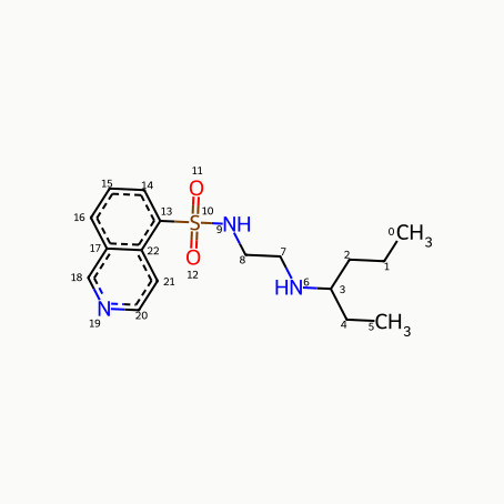 CCCC(CC)NCCNS(=O)(=O)c1cccc2cnccc12